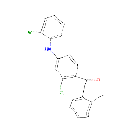 Cc1ccccc1C(=O)c1ccc(Nc2ccccc2Br)cc1Cl